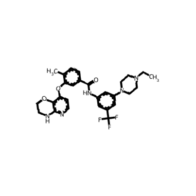 CCN1CCN(c2cc(NC(=O)c3ccc(C)c(Oc4ccnc5c4OCCN5)c3)cc(C(F)(F)F)c2)CC1